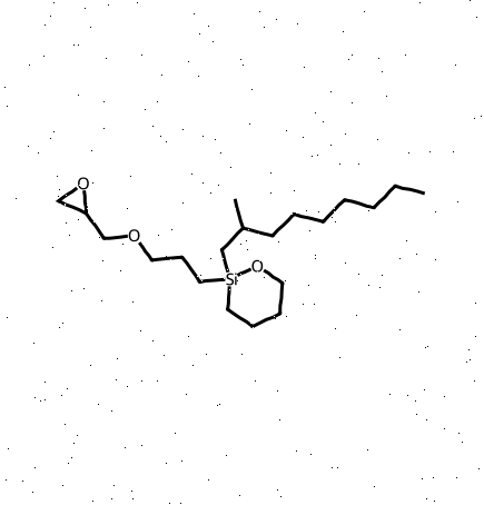 CCCCCCCC(C)C[Si]1(CCCOCC2CO2)CCCCO1